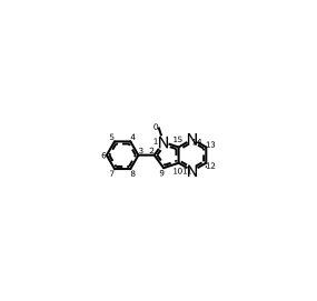 Cn1c(-c2ccccc2)cc2n[c]cnc21